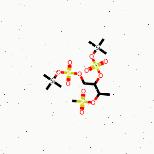 CC(OS(C)(=O)=O)C(COS(=O)(=O)O[Si](C)(C)C)OS(=O)(=O)O[Si](C)(C)C